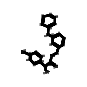 CC(C)C(C(=O)OCc1cccc(Oc2ccccc2)c1)c1ccc(Br)cc1